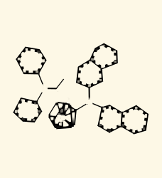 CC(P(c1ccccc1)c1ccccc1)[C@]12[CH]3[CH]4[CH]5[C]1(P(c1ccc6ccccc6c1)c1ccc6ccccc6c1)[Fe]45321678[CH]2[CH]1[CH]6[CH]7[CH]28